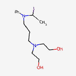 CC(C)N(CCCN(CCO)CCO)C(C)I